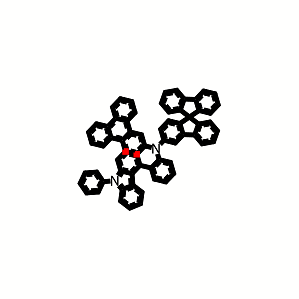 c1ccc(-n2c3ccccc3c3c(-c4ccccc4N(c4ccc5c(c4)-c4ccccc4C54c5ccccc5-c5ccccc54)c4ccc5c6ccccc6c6ccccc6c5c4)cccc32)cc1